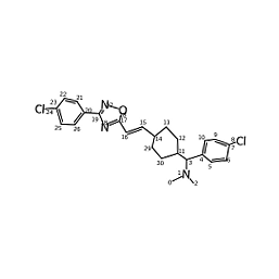 CN(C)C(c1ccc(Cl)cc1)C1CCC(/C=C/c2nc(-c3ccc(Cl)cc3)no2)CC1